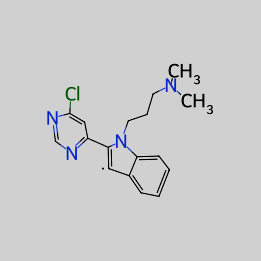 CN(C)CCCn1c(-c2cc(Cl)ncn2)[c]c2ccccc21